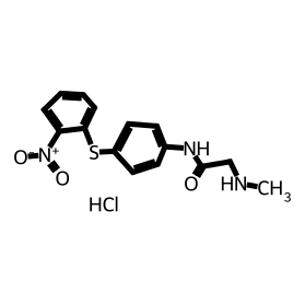 CNCC(=O)Nc1ccc(Sc2ccccc2[N+](=O)[O-])cc1.Cl